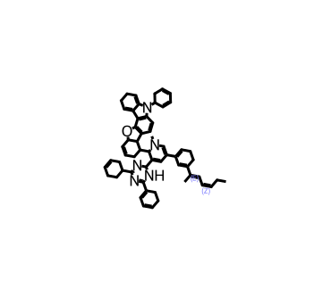 CC/C=C\C=C(/C)C1=CC(C2=CN(C)C(C3CC=CC4Oc5c(ccc6c5c5c(n6C6C=CC=CC6)=CCCC=5)C43)C(C3N=C(C4CC=CCC4)N=C(C4=CC=CCC4)N3)=C2)=CCC1